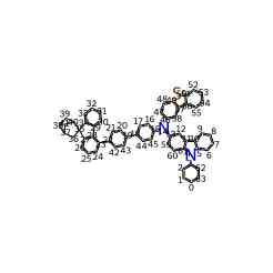 c1ccc(-n2c3ccccc3c3cc(N(c4ccc(-c5ccc(-c6cccc7c6-c6ccccc6C76CC7CCC6C7)cc5)cc4)c4ccc5sc6ccccc6c5c4)ccc32)cc1